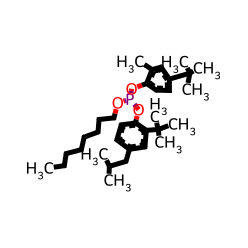 CCCCCCCCOP(Oc1ccc(C(C)(C)C)cc1C)Oc1ccc(CC(C)C)cc1C(C)(C)C